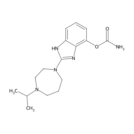 CC(C)N1CCCN(c2nc3c(OC(N)=O)cccc3[nH]2)CC1